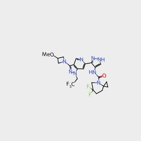 COC1CN(c2nn(CC(F)(F)F)c3cc(-c4n[nH]cc4NC(=O)N4CC(F)(F)CCC45CC5)ncc23)C1